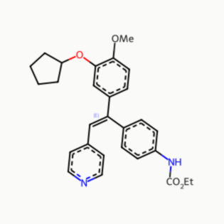 CCOC(=O)Nc1ccc(/C(=C\c2ccncc2)c2ccc(OC)c(OC3CCCC3)c2)cc1